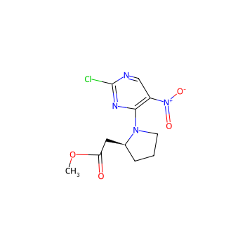 COC(=O)C[C@@H]1CCCN1c1nc(Cl)ncc1[N+](=O)[O-]